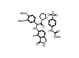 COC(=O)Nc1ccc(S(C)(=O)=O)c([C@H]2CCCN2C(=O)C(Nc2ccc3c(c2F)C(=O)NC3)c2ccc(OC)c(OC)c2)c1